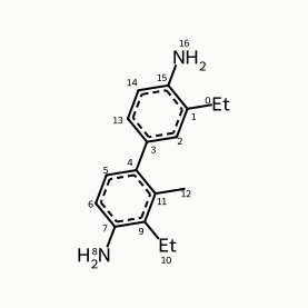 CCc1cc(-c2ccc(N)c(CC)c2C)ccc1N